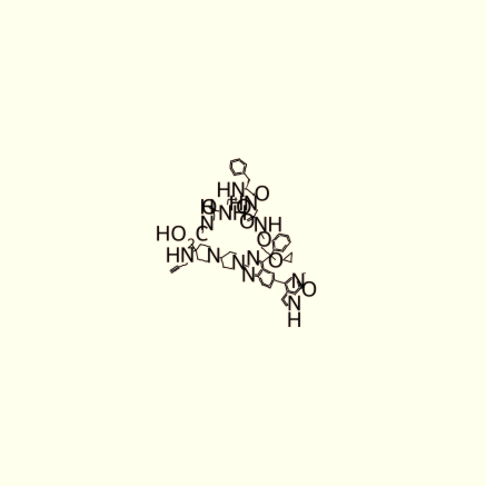 C#CCNC1(C)CCN(C2CCN(c3nc(C(COCNC(=O)CNC(=O)[C@H](Cc4ccccc4)NC(=O)CNC(=O)CNC(=O)O)(OC4CC4)c4ccccc4)c4cc(-c5cn(C)c(=O)c6[nH]ccc56)ccc4n3)CC2)CC1